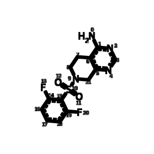 Nc1ncnc2c1CCN(S(=O)(=O)c1c(F)cccc1F)C2